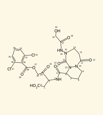 O=C(O)CC(NC(=O)C1CCCN2C(=O)CCN(NC(=O)CO)C(=O)N12)C(=O)COC(=O)c1c(Cl)cccc1Cl